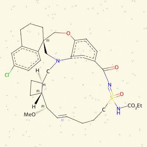 CCOC(=O)NS1(=O)=NC(=O)c2ccc3c(c2)N(C[C@@H]2CC[C@H]2[C@@H](OC)/C=C/CCC1)C[C@@]1(CCCc2cc(Cl)ccc21)CO3